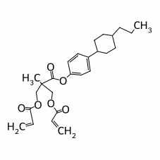 C=CC(=O)OCC(C)(COC(=O)C=C)C(=O)Oc1ccc(C2CCC(CCC)CC2)cc1